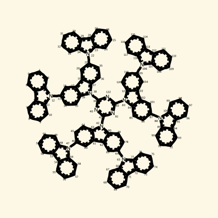 c1ccc2c(c1)c1ccccc1n2-c1ccc2c(c1)c1cc(-n3c4ccccc4c4ccccc43)ccc1n2-c1nc(-n2c3ccc(-n4c5ccccc5c5ccccc54)cc3c3cc(-n4c5ccccc5c5ccccc54)ccc32)nc(-n2c3ccc(-n4c5ccccc5c5ccccc54)cc3c3cc(-n4c5ccccc5c5ccccc54)ccc32)n1